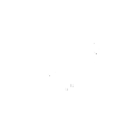 Cc1nn2ccc(C3CCN(S(C)(=O)=O)CC3)cc2c1C(=O)N1CCC(C)CC1